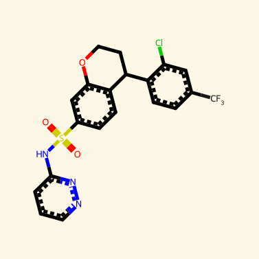 O=S(=O)(Nc1cccnn1)c1ccc2c(c1)OCCC2c1ccc(C(F)(F)F)cc1Cl